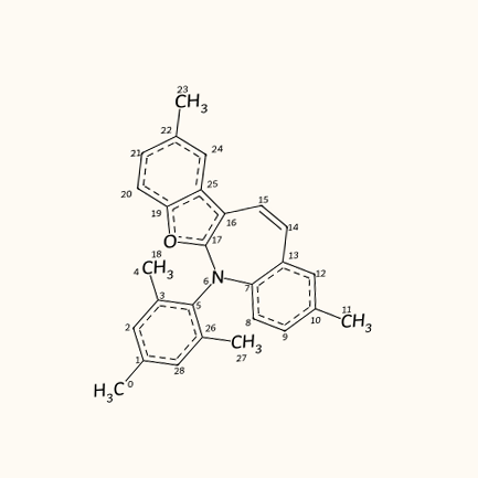 Cc1cc(C)c(N2c3ccc(C)cc3C=Cc3c2oc2ccc(C)cc32)c(C)c1